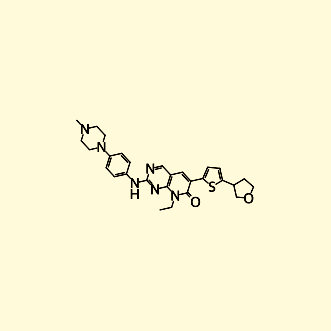 CCn1c(=O)c(-c2ccc(C3CCOC3)s2)cc2cnc(Nc3ccc(N4CCN(C)CC4)cc3)nc21